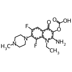 CCn1c(N)c(OC(=O)O)c(=O)c2cc(F)c(N3CCN(C)CC3)c(F)c21